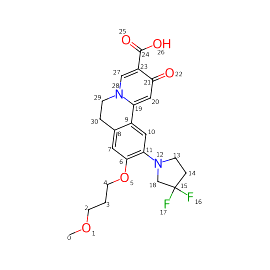 COCCCOc1cc2c(cc1N1CCC(F)(F)C1)-c1cc(=O)c(C(=O)O)cn1CC2